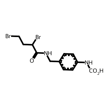 O=C(O)Nc1ccc(CNC(=O)C(Br)CCBr)cc1